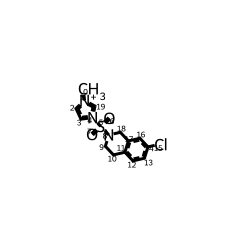 C[n+]1ccn(S(=O)(=O)N2CCc3ccc(Cl)cc3C2)c1